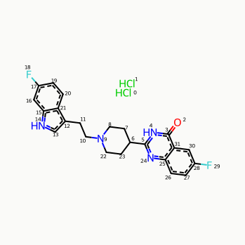 Cl.Cl.O=c1[nH]c(C2CCN(CCc3c[nH]c4cc(F)ccc34)CC2)nc2ccc(F)cc12